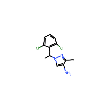 Cc1nn(C(C)c2c(Cl)cccc2Cl)cc1N